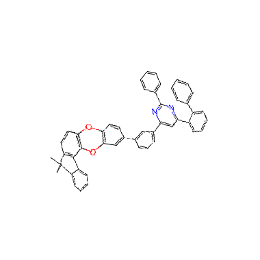 CC1(C)c2ccccc2-c2c1ccc1c2Oc2cc(-c3cccc(-c4cc(-c5ccccc5-c5ccccc5)nc(-c5ccccc5)n4)c3)ccc2O1